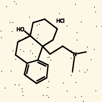 CN(C)CCC12CCCCC1(O)CCc1ccccc12.Cl